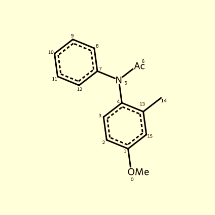 COc1ccc(N(C(C)=O)c2ccccc2)c(C)c1